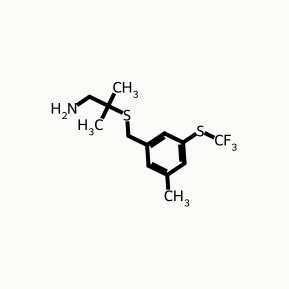 Cc1cc(CSC(C)(C)CN)cc(SC(F)(F)F)c1